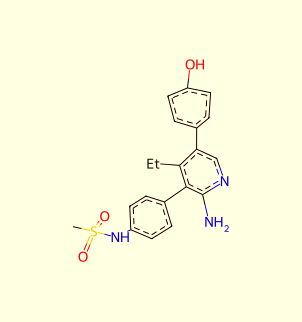 CCc1c(-c2ccc(O)cc2)cnc(N)c1-c1ccc(NS(C)(=O)=O)cc1